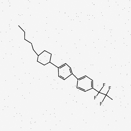 CCCCCC1CCC(c2ccc(-c3ccc(C(F)(F)C(C)(F)F)cc3)cc2)CC1